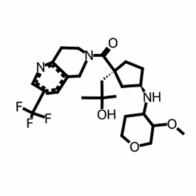 COC1COCCC1N[C@@H]1CC[C@](CC(C)(C)O)(C(=O)N2CCc3ncc(C(F)(F)F)cc3C2)C1